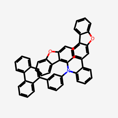 c1cc(-c2cc3ccccc3c3ccccc23)cc(N(c2ccccc2-c2ccc3c(c2)oc2ccccc23)c2cccc3oc4ccccc4c23)c1